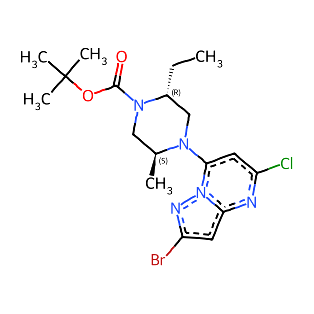 CC[C@@H]1CN(c2cc(Cl)nc3cc(Br)nn23)[C@@H](C)CN1C(=O)OC(C)(C)C